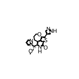 COC[C@@H](c1[nH]c(=O)c2sc(-c3cn[nH]c3)c3c2c1CCCO3)n1cccn1